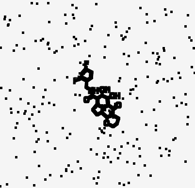 O=C(NCc1ccc(F)cc1F)C1=C2CCC3C4OCCCN4C(=O)C(=C(O)C1O)N23